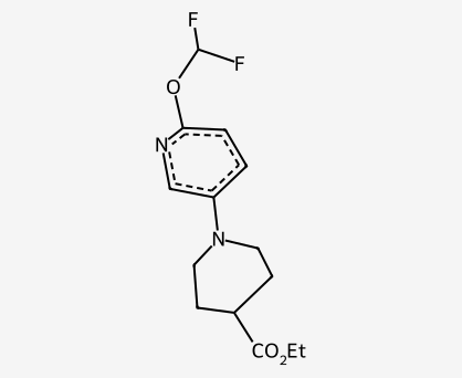 CCOC(=O)C1CCN(c2ccc(OC(F)F)nc2)CC1